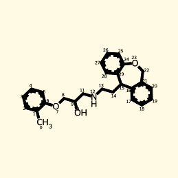 Cc1ccccc1OCC(O)CNCCC1c2ccccc2COc2ccccc21